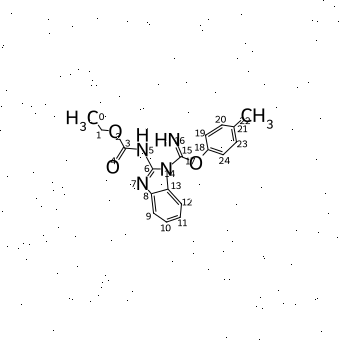 CCOC(=O)Nc1nc2ccccc2n1C(=N)Oc1ccc(C)cc1